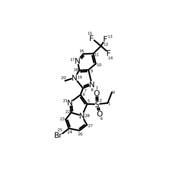 CCS(=O)(=O)c1c(-c2nc3cc(C(F)(F)F)cnc3n2C)nc2cc(Br)ccn12